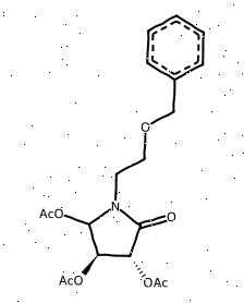 CC(=O)OC1[C@H](OC(C)=O)[C@@H](OC(C)=O)C(=O)N1CCOCc1ccccc1